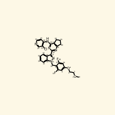 COCCOc1cc(F)c(Cn2nc(-c3nc4c(c(Nc5ccncc5Cl)n3)CCC4)c3ccccc32)c(F)c1